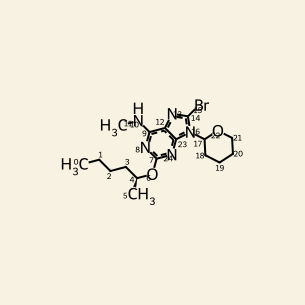 CCCC[C@H](C)Oc1nc(NC)c2nc(Br)n(C3CCCCO3)c2n1